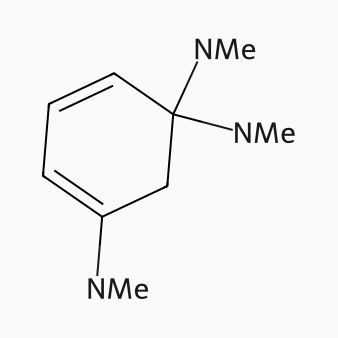 CNC1=CC=CC(NC)(NC)C1